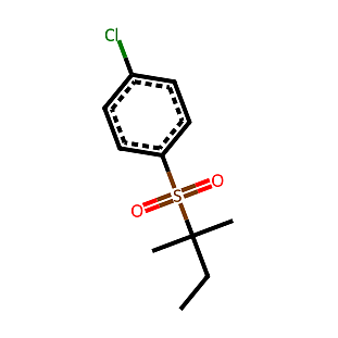 CCC(C)(C)S(=O)(=O)c1ccc(Cl)cc1